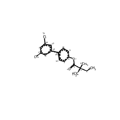 CCC(C)(C)C(=O)Oc1ccc(-c2cc(Cl)cc(Cl)c2)cc1